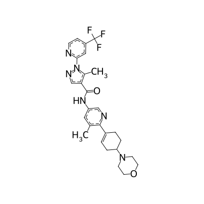 Cc1cc(NC(=O)c2cnn(-c3cc(C(F)(F)F)ccn3)c2C)cnc1C1=CCC(N2CCOCC2)CC1